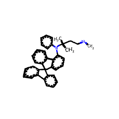 C=NCCC(C)(C)N(c1ccccc1)c1cccc2c1-c1ccccc1C21c2ccccc2-c2ccccc21